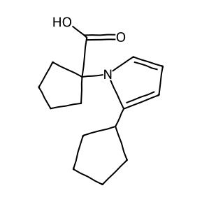 O=C(O)C1(n2cccc2C2CCCC2)CCCC1